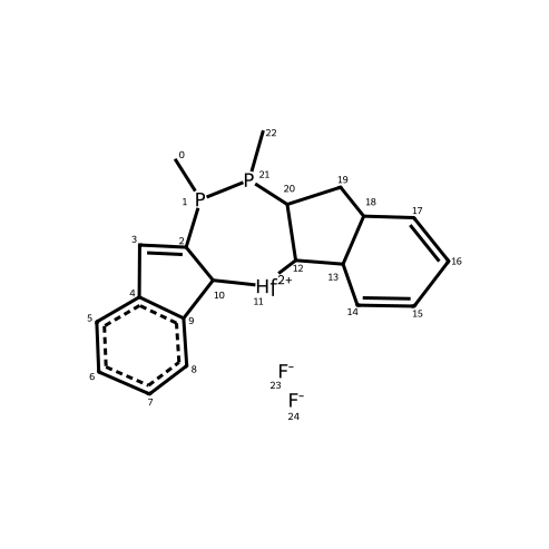 CP1C2=Cc3ccccc3[CH]2[Hf+2][CH]2C3C=CC=CC3CC2P1C.[F-].[F-]